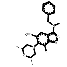 C[C@@H]1CN(c2c(C=O)cc3c(N(C)Cc4ccccc4)noc3c2F)C[C@H](C)O1